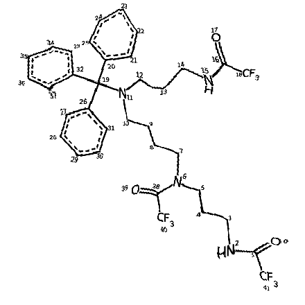 O=C(NCCCN(CCCCN(CCCNC(=O)C(F)(F)F)C(c1ccccc1)(c1ccccc1)c1ccccc1)C(=O)C(F)(F)F)C(F)(F)F